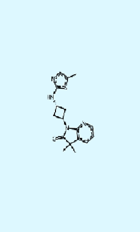 Cc1cnc(N[C@H]2C[C@H](N3C(=O)C(C)(C)c4cccnc43)C2)s1